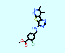 COC(=O)c1ccc(CNc2ncnc3c2sc2nnc(C)c(C)c23)cc1Cl